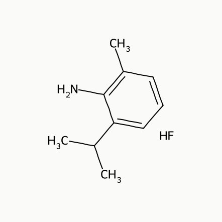 Cc1cccc(C(C)C)c1N.F